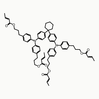 C/C=C/C(=O)OCCCc1ccc(N(c2ccc(CCCOC(=O)/C=C/C)cc2)c2ccc(C3(c4ccc(N(c5ccc(CCCOC(=O)/C=C/C)cc5)c5ccc(CCCOC(=O)/C=C/C)cc5)cc4)CCCCC3)cc2)cc1